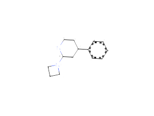 c1ccc(C2CC[N]C(N3CCC3)C2)cc1